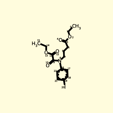 CCOC(=O)CCCN(C(=O)C(=O)OCC)c1ccc(I)cc1